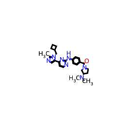 Cc1ncc(-c2ccnc(Nc3ccc(C(=O)N4CC[C@H](N(C)C)C4)cc3)n2)n1CC1CCC1